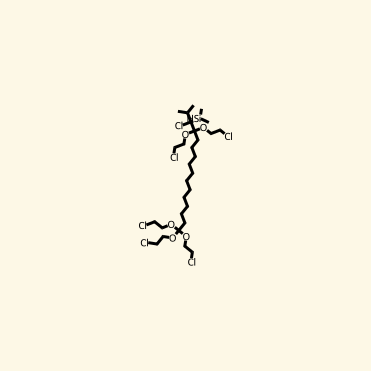 CC(C)C(Cl)([SiH](C)C)C(CCCCCCCCCCCC(OCCCl)(OCCCl)OCCCl)(OCCCl)OCCCl